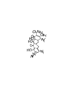 CN(C)c1cc([N+]#N)c(O)c2c1CC1CC3C(N(C)C)C(O)=C(C(N)=O)C(=O)C3(O)C(O)=C1C2=O